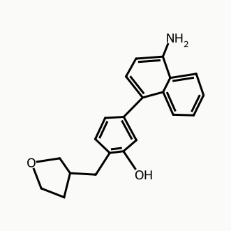 Nc1ccc(-c2ccc(CC3CCOC3)c(O)c2)c2ccccc12